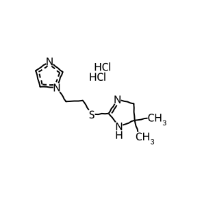 CC1(C)CN=C(SCCn2ccnc2)N1.Cl.Cl